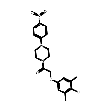 Cc1cc(OCC(=O)N2CCN(c3ccc([SH](=O)=O)cc3)CC2)cc(C)c1Cl